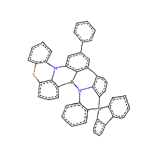 c1ccc(-c2cc3c4c(c2)N2c5ccccc5Sc5cccc(c52)B4N2c4ccccc4[Si]4(c5ccccc5-c5ccccc54)c4cccc-3c42)cc1